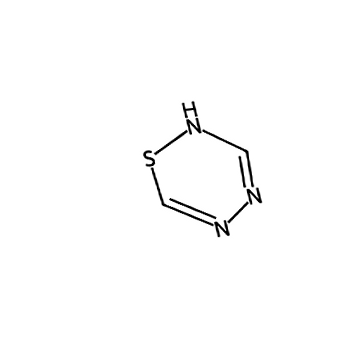 C1=NN=CSN1